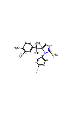 Cc1ccc(C(C)(C)c2cnc(C=O)n2-c2ccc(F)cc2)cc1C